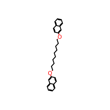 c1ccc2cc(OCCCCCCCCCCOc3ccc4ccccc4c3)ccc2c1